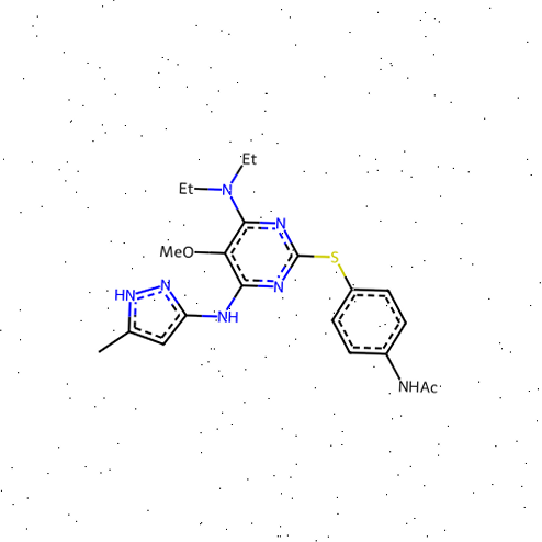 CCN(CC)c1nc(Sc2ccc(NC(C)=O)cc2)nc(Nc2cc(C)[nH]n2)c1OC